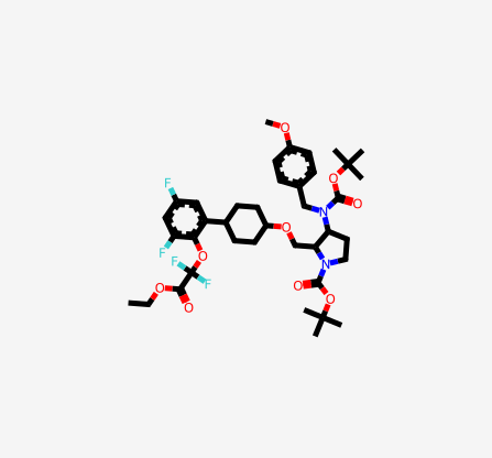 CCOC(=O)C(F)(F)Oc1c(F)cc(F)cc1C1CCC(OCC2C(N(Cc3ccc(OC)cc3)C(=O)OC(C)(C)C)CCN2C(=O)OC(C)(C)C)CC1